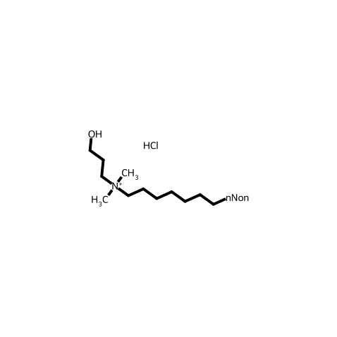 CCCCCCCCCCCCCCCC[N+](C)(C)CCCO.Cl